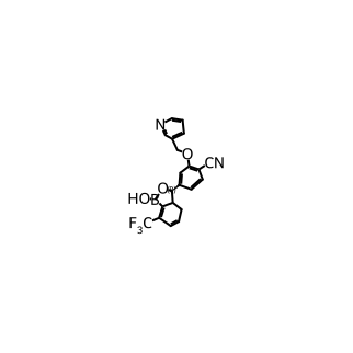 N#Cc1ccc([C@@H]2OB(O)C3=C(C(F)(F)F)C=CCC32)cc1OCc1cccnc1